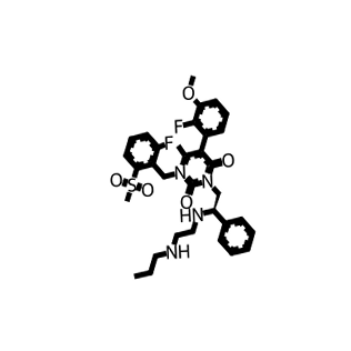 CCCNCCN[C@@H](Cn1c(=O)c(-c2cccc(OC)c2F)c(C)n(Cc2c(F)cccc2S(C)(=O)=O)c1=O)c1ccccc1